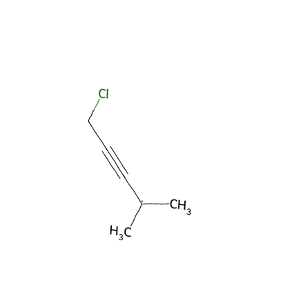 C[C](C)C#CCCl